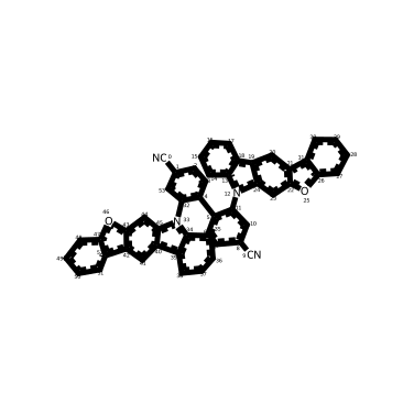 N#Cc1ccc(-c2ccc(C#N)cc2-n2c3ccccc3c3cc4c(cc32)oc2ccccc24)c(-n2c3ccccc3c3cc4c(cc32)oc2ccccc24)c1